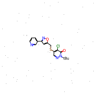 CC(C)(C)n1ncc(SCc2cc(-c3cccnc3)no2)c(Cl)c1=O